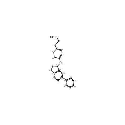 O=C(O)CCC1=CC=C(OC2CCc3ccc(-c4ccccc4)cc32)CC1